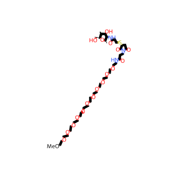 COCCOCCOCCOCCOCCOCCOCCOCCOCCOCCOCCOCCNC(=O)CCN1C(=O)CC(SCCC(=O)N[C@@H]2[C@@H](O)[C@H](C)[C@@H](CO)O[C@H]2C)C1=O